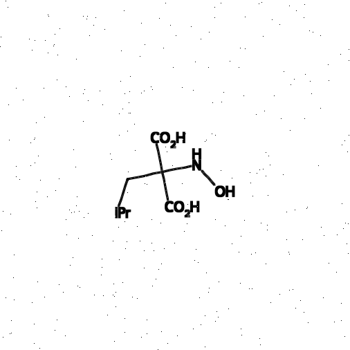 CC(C)CC(NO)(C(=O)O)C(=O)O